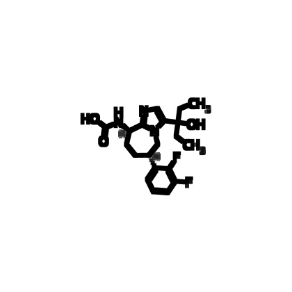 CCC(O)(CC)c1cnc2n1C[C@H](c1cccc(F)c1F)CC[C@H]2NC(=O)O